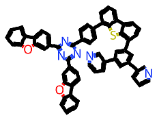 c1cncc(-c2cc(-c3cccnc3)cc(-c3cccc4c3sc3c(-c5ccc(-c6nc(-c7ccc8c(c7)oc7ccccc78)nc(-c7ccc8c(c7)oc7ccccc78)n6)cc5)cccc34)c2)c1